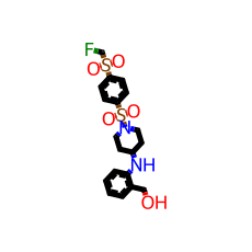 O=S(=O)(CF)c1ccc(S(=O)(=O)N2CCC(Nc3ccccc3CO)CC2)cc1